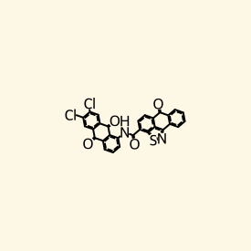 O=C1c2cc(Cl)c(Cl)cc2C(=O)c2c(NC(=O)c3ccc4c5c(nsc35)-c3ccccc3C4=O)cccc21